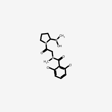 CB(O)C1CCCN1C(=O)CN(C)C(=O)c1c(Cl)cccc1Cl